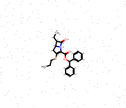 CCCSC1=C(C(=O)OC(c2ccccc2)c2ccccc2)N2C(=O)C(CC)C2C1